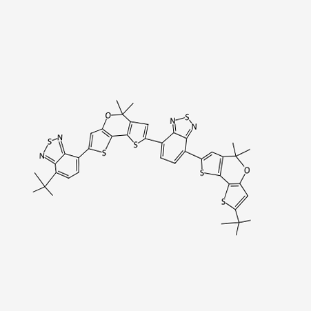 CC(C)(C)c1cc2c(s1)-c1sc(-c3ccc(-c4cc5c(s4)-c4sc(-c6ccc(C(C)(C)C)c7nsnc67)cc4OC5(C)C)c4nsnc34)cc1C(C)(C)O2